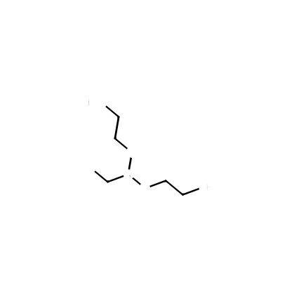 CCCO[Si](CC)OCCC